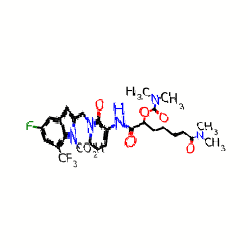 CN(C)C(=O)/C=C/CCC(OC(=O)N(C)C)C(=O)Nc1cccn(Cc2cc3cc(F)cc(C(F)(F)F)c3n2C(=O)O)c1=O